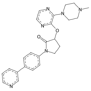 CN1CCN(c2nccnc2OC2CCN(c3ccc(-c4cccnc4)cc3)C2=O)CC1